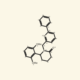 COc1cccc(OC)c1C1CCCC(=O)N1Cc1cccc(-c2ccccc2)n1